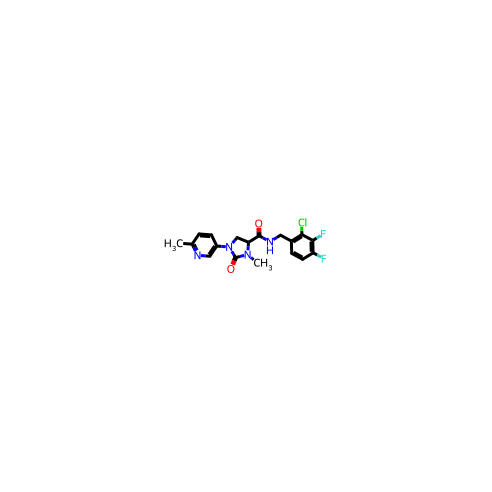 Cc1ccc(N2CC(C(=O)NCc3ccc(F)c(F)c3Cl)N(C)C2=O)cn1